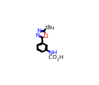 CC(C)(C)c1nnc(-c2cccc(NC(=O)O)c2)o1